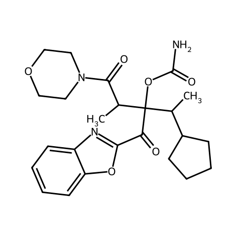 CC(C(=O)N1CCOCC1)C(OC(N)=O)(C(=O)c1nc2ccccc2o1)C(C)C1CCCC1